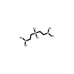 CC[Si](CC)(CCN(C(C)C)C(C)C)CCN(C(C)C)C(C)C